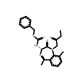 CCC(=O)CN1C(=O)[C@@H](NC(=O)OCc2ccccc2)N=C(C)c2cccc(C)c21